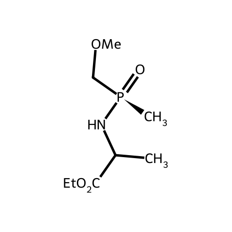 CCOC(=O)C(C)N[P@@](C)(=O)COC